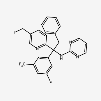 Fc1cc(C(F)(F)F)cc(C(Cc2ccccc2)(Nc2ncccn2)c2ccc(CI)cn2)c1